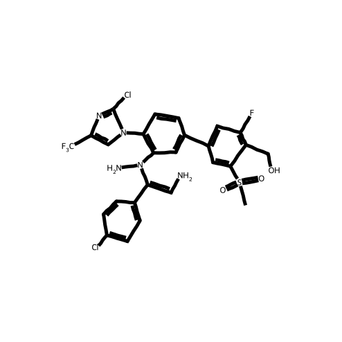 CS(=O)(=O)c1cc(-c2ccc(-n3cc(C(F)(F)F)nc3Cl)c(N(N)/C(=C\N)c3ccc(Cl)cc3)c2)cc(F)c1CO